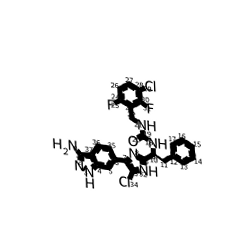 Nc1n[nH]c2cc(-c3nc([C@H](Cc4ccccc4)NC(=O)NCc4c(F)ccc(Cl)c4F)[nH]c3Cl)ccc12